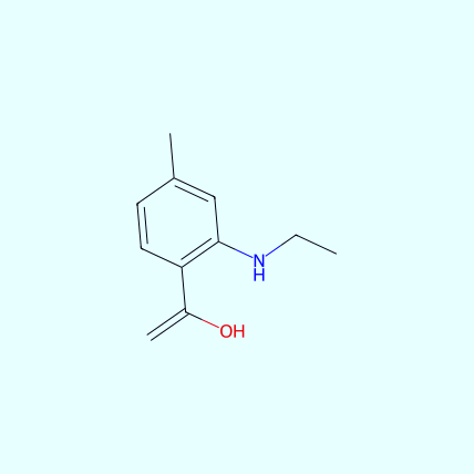 C=C(O)c1ccc(C)cc1NCC